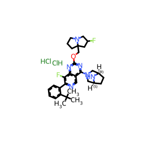 CC(C)(C)c1ccccc1-c1ncc2c(N3C[C@H]4CC[C@@H](C3)N4)nc(OCC34CCCN3CC(F)C4)nc2c1F.Cl.Cl